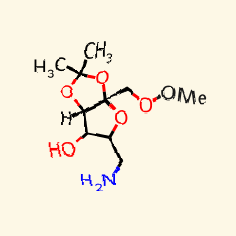 COOC[C@@]12OC(CN)C(O)[C@@H]1OC(C)(C)O2